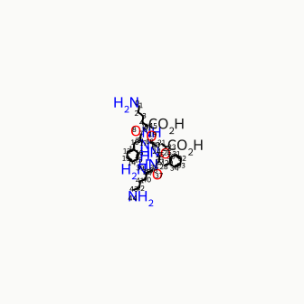 NCCCC[C@H](NC(=O)[C@H](Cc1ccccc1)NC(=O)[C@H](CCC(=O)O)NC(=O)[C@H](Cc1ccccc1)NC(=O)[C@@H](N)CCCCN)C(=O)O